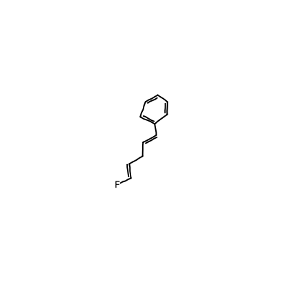 F/C=C/C/C=C/c1ccccc1